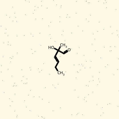 CCC=CC(C)(O)C=O